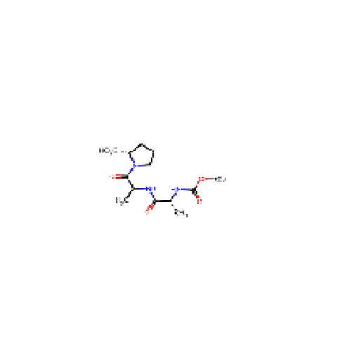 C[C@H](NC(=O)[C@@H](C)NC(=O)OC(C)(C)C)C(=O)N1CCC[C@H]1C(=O)O